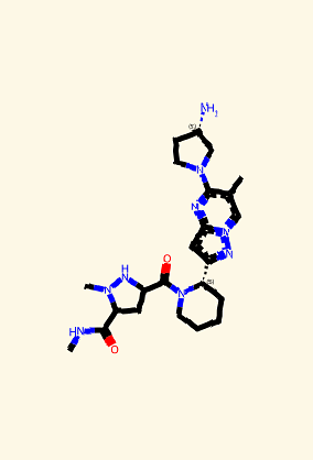 CNC(=O)C1CC(C(=O)N2CCCC[C@H]2c2cc3nc(N4CC[C@H](N)C4)c(C)cn3n2)NN1C